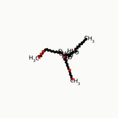 CCCCCCCC/C=C\CCCCCCCC(=O)OC[C@H](COP(=O)(O)OCCNC(=O)CCCCCCCCCCC)OC(=O)CCCCCCCCCCCCCCC